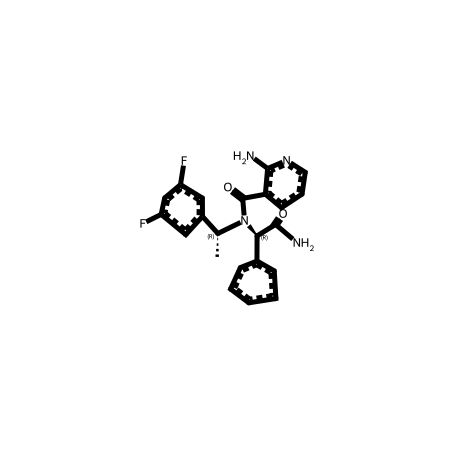 C[C@H](c1cc(F)cc(F)c1)N(C(=O)c1cccnc1N)[C@@H](C(N)=O)c1ccccc1